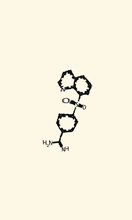 N=C(N)c1ccc(S(=O)(=O)c2cccc3cccnc23)cc1